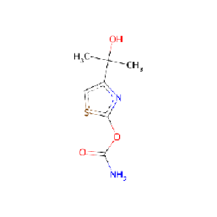 CC(C)(O)c1csc(OC(N)=O)n1